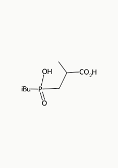 CCC(C)P(=O)(O)CC(C)C(=O)O